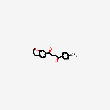 O=C(CCC(=O)c1ccc2c(c1)OCCC2)c1ccc(C(F)(F)F)cc1